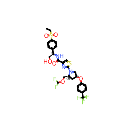 CCS(=O)(=O)c1ccc([C@H](CO)NC(=O)c2csc(N3C[C@@H](Oc4ccc(C(F)(F)F)cc4)C[C@H]3COC(F)F)n2)cc1